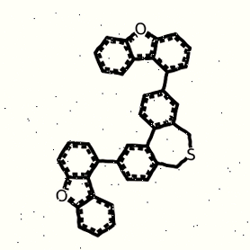 c1ccc2c(c1)oc1cccc(-c3ccc4c(c3)CSCc3ccc(-c5cccc6oc7ccccc7c56)cc3-4)c12